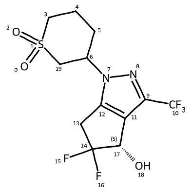 O=S1(=O)CCCC(n2nc(C(F)(F)F)c3c2CC(F)(F)[C@H]3O)C1